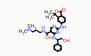 CN(C)CCCNC(=O)c1cnc(Nc2ccc3c(c2)C(C)(C)OC3=O)nc1NC(CO)c1ccccc1